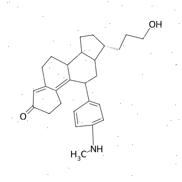 CNc1ccc(C2CC3C(CC[C@@H]3CCCO)C3CCC4=CC(=O)CCC4=C23)cc1